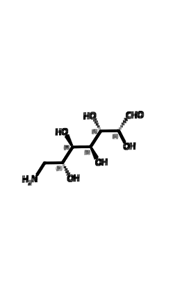 NC[C@@H](O)[C@@H](O)[C@H](O)[C@H](O)[C@@H](O)C=O